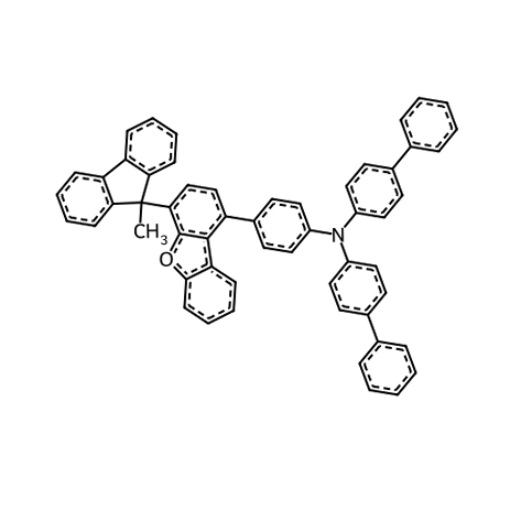 CC1(c2ccc(-c3ccc(N(c4ccc(-c5ccccc5)cc4)c4ccc(-c5ccccc5)cc4)cc3)c3c2oc2ccccc23)c2ccccc2-c2ccccc21